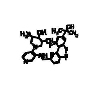 CC1CN(c2ccncc2NCc2ccc(F)c(-c3c(F)cc(C(C)(C)O)cc3F)n2)CC(N)C1O